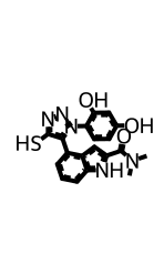 CN(C)C(=O)c1cc2c(-c3c(S)nnn3-c3ccc(O)cc3O)cccc2[nH]1